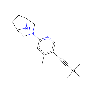 Cc1cc(N2CC3CCC(C2)N3)ncc1C#C[Si](C)(C)C